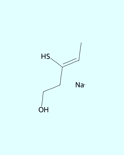 CC=C(S)CCO.[Na]